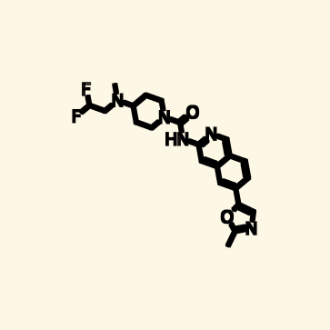 Cc1ncc(-c2ccc3cnc(NC(=O)N4CCC(N(C)CC(F)F)CC4)cc3c2)o1